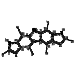 Cc1cc2c(C)c3c(oc4c(C)c5sc(C)cc5c(C)c43)c(C)c2s1